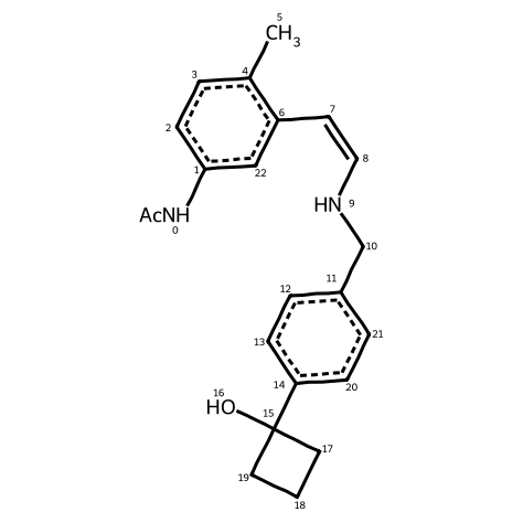 CC(=O)Nc1ccc(C)c(/C=C\NCc2ccc(C3(O)CCC3)cc2)c1